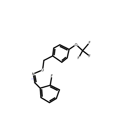 Fc1ccccc1/[C]=N\OCc1ccc(OC(F)(F)F)cc1